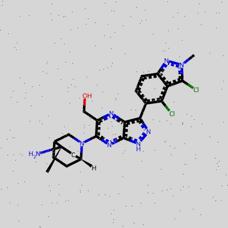 Cn1nc2ccc(-c3n[nH]c4nc(N5CC6CC[C@@H]5C[C@]6(C)N)c(CO)nc34)c(Cl)c2c1Cl